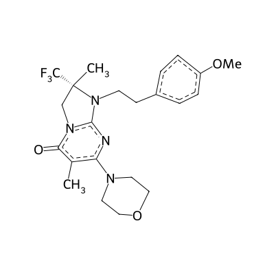 COc1ccc(CCN2c3nc(N4CCOCC4)c(C)c(=O)n3C[C@]2(C)C(F)(F)F)cc1